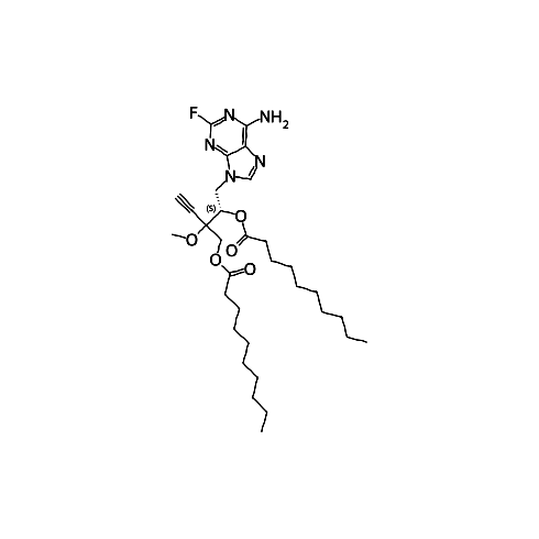 C#CC(COC(=O)CCCCCCCCC)(OC)[C@H](Cn1cnc2c(N)nc(F)nc21)OC(=O)CCCCCCCCC